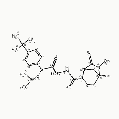 C[SiH](C)OC(C(=O)NNC(=O)[C@@H]1CC[C@@H]2CN1C(=O)N2O)c1ccc(C(C)(C)C)cc1